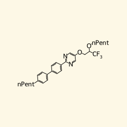 CCCCCOC(COc1cnc(-c2ccc(-c3ccc(CCCCC)cc3)cc2)nc1)C(F)(F)F